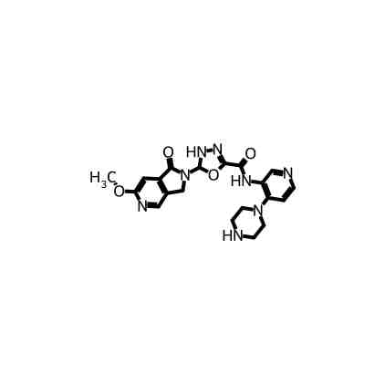 COc1cc2c(cn1)CN(C1NN=C(C(=O)Nc3cnccc3N3CCNCC3)O1)C2=O